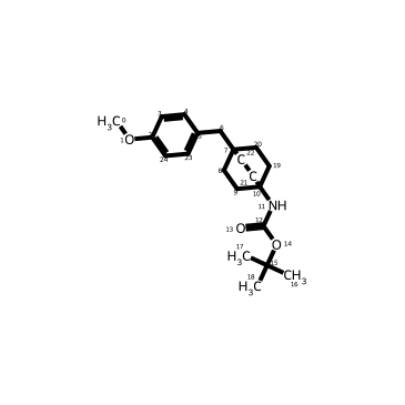 COc1ccc(CC23CCC(NC(=O)OC(C)(C)C)(CC2)CC3)cc1